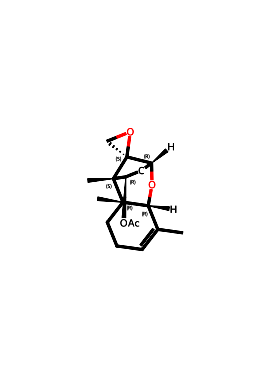 CC(=O)O[C@@H]1C[C@H]2O[C@@H]3C(C)=CCC[C@]3(C)[C@]1(C)[C@]21CO1